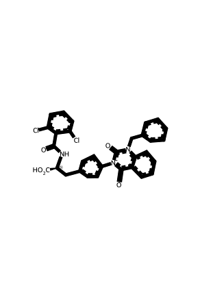 O=C(N[C@@H](Cc1ccc(-n2c(=O)c3ccccc3n(Cc3ccccc3)c2=O)cc1)C(=O)O)c1c(Cl)cccc1Cl